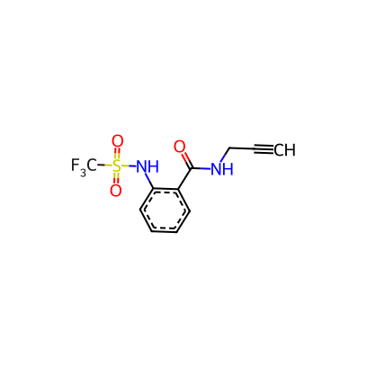 C#CCNC(=O)c1ccccc1NS(=O)(=O)C(F)(F)F